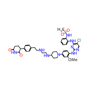 COc1cc(N2CCC(NCCNCCc3ccc(C4CCC(=O)NC4=O)cc3)CC2)ccc1Nc1ncc(Cl)c(Nc2ccccc2NS(C)(=O)=O)n1